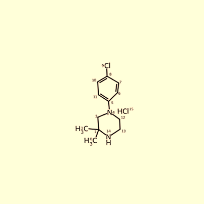 CC1(C)CN(c2ccc(Cl)cc2)CCN1.Cl